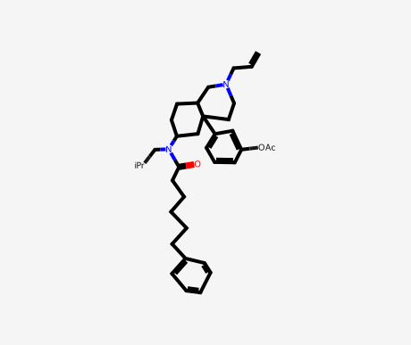 C=CCN1CCC2(c3cccc(OC(C)=O)c3)CC(N(CC(C)C)C(=O)CCCCCc3ccccc3)CCC2C1